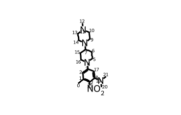 Cc1cc(N2CCC(N3CCN(C)CC3)CC2)cc(N(C)C)c1[N+](=O)[O-]